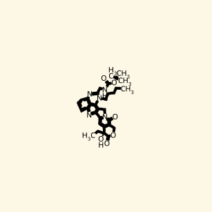 CCCCCN1C(CNC(=O)OC(C)(C)C)=Nc2cccc3nc4c(c1c23)Cn1c-4cc2c(c1=O)COC(=O)[C@]2(O)CC